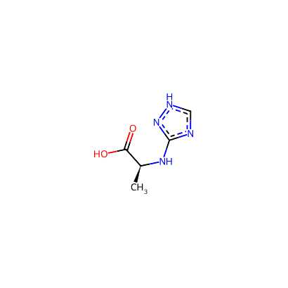 C[C@H](Nc1nc[nH]n1)C(=O)O